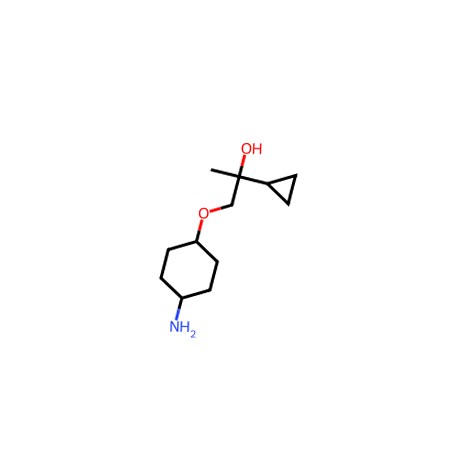 CC(O)(COC1CCC(N)CC1)C1CC1